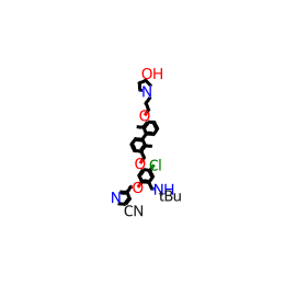 Cc1c(COc2cc(OCc3cncc(C#N)c3)c(CNC(C)(C)C)cc2Cl)cccc1-c1cccc(OCCCN2CC[C@@H](O)C2)c1C